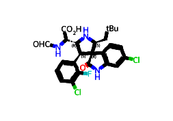 CC(C)(C)C[C@@H]1N[C@@H](C(NC=O)C(=O)O)[C@H](c2cccc(Cl)c2F)[C@]12C(=O)Nc1cc(Cl)ccc12